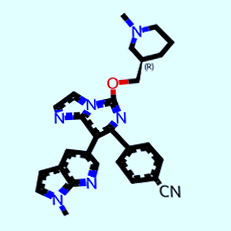 CN1CCC[C@@H](COc2nc(-c3ccc(C#N)cc3)c(-c3cnc4c(ccn4C)c3)c3nccn23)C1